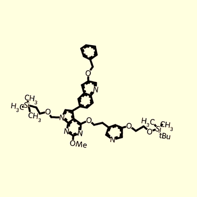 COc1nc(OCCc2cncc(OCCO[Si](C)(C)C(C)(C)C)c2)c2c(-c3ccc4ncc(OCc5ccccc5)cc4c3)cn(COCC[Si](C)(C)C)c2n1